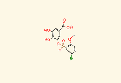 COc1ccc(Br)cc1S(=O)(=O)Oc1cc(C(=O)O)cc(O)c1O